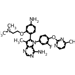 Cc1ccnc(Oc2ccc(-n3c(-c4ccc(N)cc4OCCN(C)C)c(C)c4ncnc(N)c43)cc2F)n1